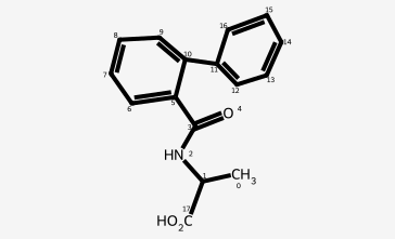 CC(NC(=O)c1ccccc1-c1ccccc1)C(=O)O